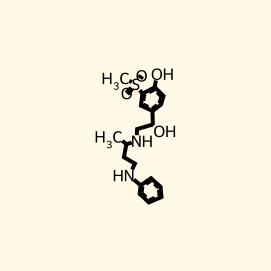 CC(CCNc1ccccc1)NCC(O)c1ccc(O)c(S(C)(=O)=O)c1